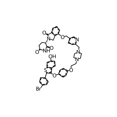 O=C1CC[C@@H](N2Cc3c(OCc4ccc(CN5CCN(CCOc6ccc(Oc7c(-c8ccc(Br)cc8)sc8cc(O)ccc78)cc6)CC5)nc4)cccc3C2=O)C(=O)N1